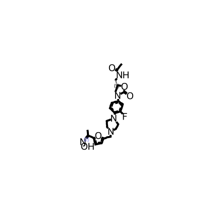 CC(=O)NC[C@H]1CN(c2ccc(N3CCN(Cc4ccc(/C(C)=N\O)o4)CC3)c(F)c2)C(=O)O1